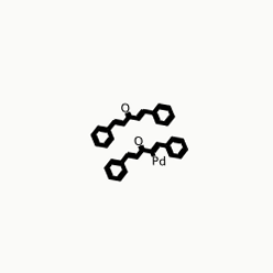 O=C(C=Cc1ccccc1)C=Cc1ccccc1.O=C(C=Cc1ccccc1)[C]([Pd])=Cc1ccccc1